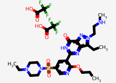 CCCOc1ncc(S(=O)(=O)N2CCN(CC)CC2)cc1-c1nc2c(CC)n(CCNC)nc2c(=O)[nH]1.O=C(O)C(F)(F)F.O=C(O)C(F)(F)F